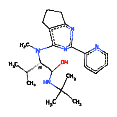 CC(C)[C@@H](C(O)NC(C)(C)C)N(C)c1nc(-c2ccccn2)nc2c1CCC2